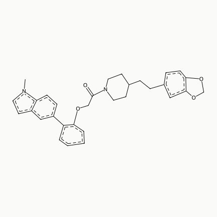 Cn1ccc2cc(-c3ccccc3OCC(=O)N3CCC(CCc4ccc5c(c4)OCO5)CC3)ccc21